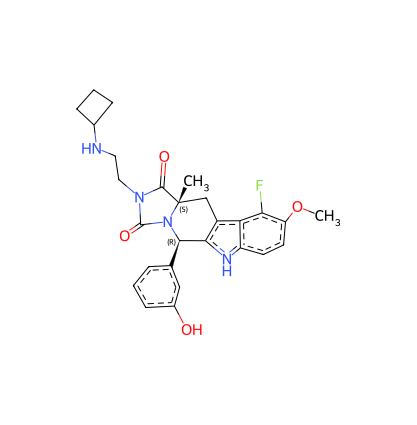 COc1ccc2[nH]c3c(c2c1F)C[C@@]1(C)C(=O)N(CCNC2CCC2)C(=O)N1[C@@H]3c1cccc(O)c1